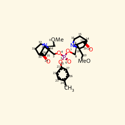 COC[C@@]1(COP(=O)(OC[C@]2(COC)C(=O)C3CCN2CC3)Oc2ccc(C)cc2)C(=O)C2CCN1CC2